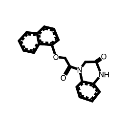 O=C1CN(C(=O)COc2cccc3ccccc23)c2ccccc2N1